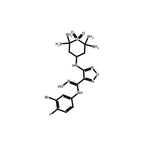 BC1(B)CC(Nc2nonc2/C(=N/O)Nc2ccc(F)c(Br)c2)CC(B)(B)S1(=O)=O